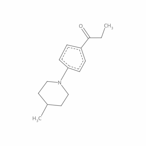 CCC(=O)c1ccc(N2CCC(C)CC2)cc1